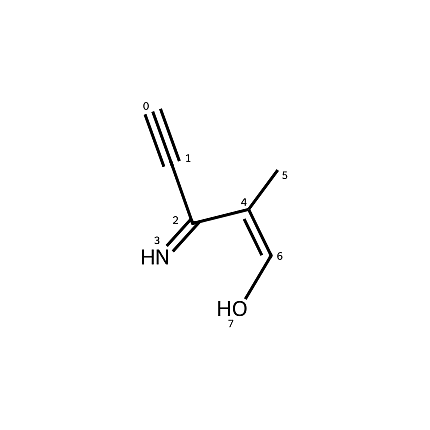 C#CC(=N)/C(C)=C\O